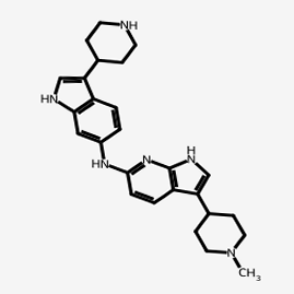 CN1CCC(c2c[nH]c3nc(Nc4ccc5c(C6CCNCC6)c[nH]c5c4)ccc23)CC1